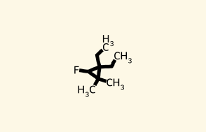 CCC1(CC)C(F)C1(C)C